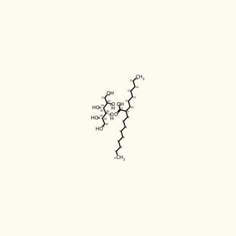 CCCCCCCCCC(CCCCCCC)C(=O)O.OC[C@@H](O)[C@@H](O)[C@H](O)[C@@H](O)CO